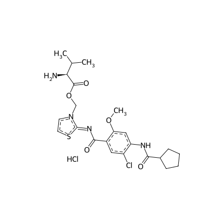 COc1cc(NC(=O)C2CCCC2)c(Cl)cc1C(=O)/N=c1\sccn1COC(=O)[C@@H](N)C(C)C.Cl